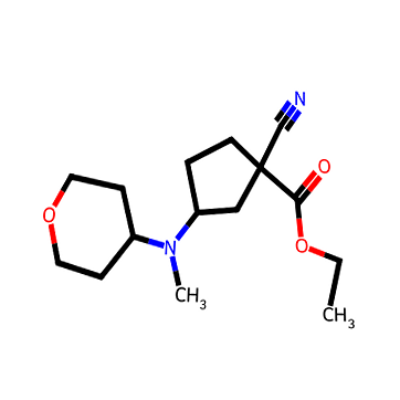 CCOC(=O)C1(C#N)CCC(N(C)C2CCOCC2)C1